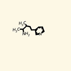 CC(N)C(C)CCc1cccnc1